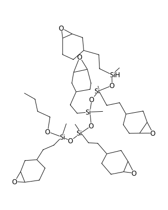 CCCCO[Si](C)(CCC1CCC2OC2C1)O[Si](C)(CCC1CCC2OC2C1)O[Si](C)(CCC1CCC2OC2C1)O[Si](C)(CCC1CCC2OC2C1)O[SiH](C)CCC1CCC2OC2C1